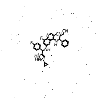 N#CCCC(Nc1c(C#N)cnc2c(F)cc(NC(C3=CN(C4CC4)NN3)c3ccc(F)cc3)cc12)c1ccccc1